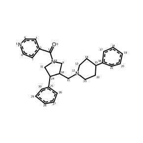 O=C(c1ccncc1)N1CC(CN2CCC(c3ccccc3)CC2)C(c2ccccc2)C1